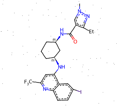 CCc1nn(C)cc1C(=O)N[C@@H]1CCC[C@H](Nc2cc(C(F)(F)F)nc3ccc(I)cc23)C1